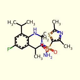 C=C(N=S(N)(=O)c1sc(C)nc1C)Nc1c(C(C)C)cc(F)cc1C(C)C=O